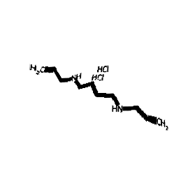 C=CCNCCCCNCC=C.Cl.Cl